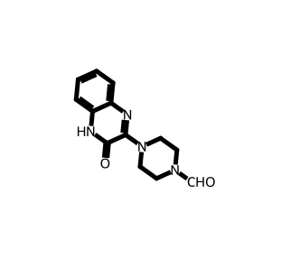 O=CN1CCN(c2nc3ccccc3[nH]c2=O)CC1